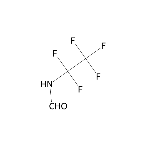 O=CNC(F)(F)C(F)(F)F